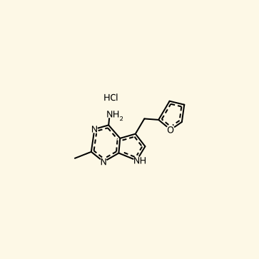 Cc1nc(N)c2c(Cc3ccco3)c[nH]c2n1.Cl